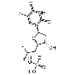 O=c1[nH]c(=O)n([C@H]2C[C@H](O)[C@@H]([C@H](OP(=O)(O)O)C(F)F)O2)cc1F